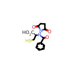 O=C(O)[C@H](CS)N(C(=O)c1ccccc1)N1C(=O)CCC1=O